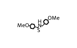 COc1ccc(CNC(=S)c2ccc(OC)cc2)cc1